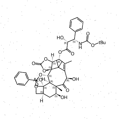 CC(=O)O[C@@]12OC[C@@H]1C[C@H](O)[C@@]1(C)C(=O)[C@H](O)C3=C(C)[C@@H](OC(=O)[C@H](O)[C@@H](NC(=O)OC(C)(C)C)c4ccccc4)[C@@H]4OC(=O)O[C@]4([C@@H](OC(=O)c4ccccc4)[C@H]21)C3(C)C